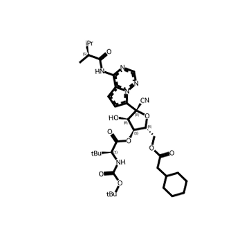 CC(C)[C@H](C)C(=O)Nc1ncnn2c([C@]3(C#N)O[C@H](COC(=O)CC4CCCCC4)[C@@H](OC(=O)[C@@H](NC(=O)OC(C)(C)C)C(C)(C)C)[C@H]3O)ccc12